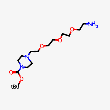 CC(C)(C)OC(=O)N1CCN(CCOCCOCCOCCN)CC1